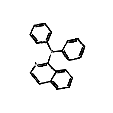 c1ccc(P(c2ccccc2)c2nccc3ccccc23)cc1